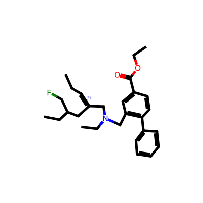 CC/C=C(\CC(CC)CF)CN(CC)Cc1cc(C(=O)OCC)ccc1-c1ccccc1